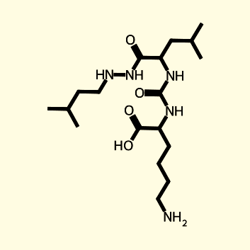 CC(C)CCNNC(=O)C(CC(C)C)NC(=O)NC(CCCCN)C(=O)O